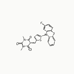 CN1C(=O)C(=Cc2ccc(N3c4ccccc4Sc4ccc(F)cc43)s2)C(=O)N(C)C1=O